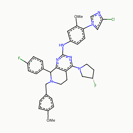 COc1ccc(CN2CCc3c(nc(Nc4ccc(-n5cnc(Cl)c5)c(OC)c4)nc3N3CC[C@H](F)C3)C2c2ccc(F)cc2)cc1